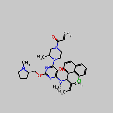 C=CC(=O)N1CCN(c2nc(OC[C@@H]3CCCN3C)nc(N(C)C(/C(C)=C\C)c3cccc4cccc(Cl)c34)c2O)[C@@H](C)C1